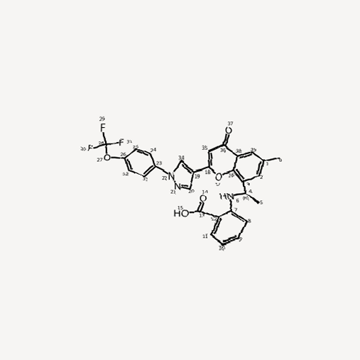 Cc1cc([C@@H](C)Nc2ccccc2C(=O)O)c2oc(-c3cnn(-c4ccc(OC(F)(F)F)cc4)c3)cc(=O)c2c1